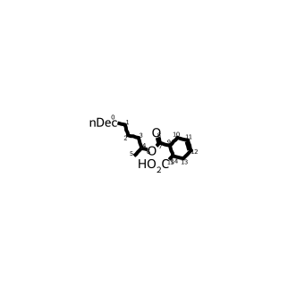 CCCCCCCCCCCCCC(C)OC(=O)C1CC=CCC1C(=O)O